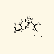 CCOC(=O)c1cnn(Cc2ccccc2F)c1